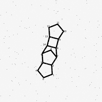 C1CC2C(C1)C1CC2C2C3CCCC3C12